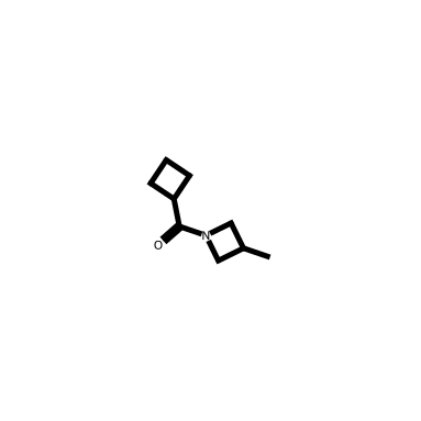 CC1CN(C(=O)C2CCC2)C1